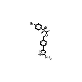 CC(OCc1ccc(-c2cc(N)[nH]n2)cc1)S(=O)(=O)c1ccc(Br)cc1